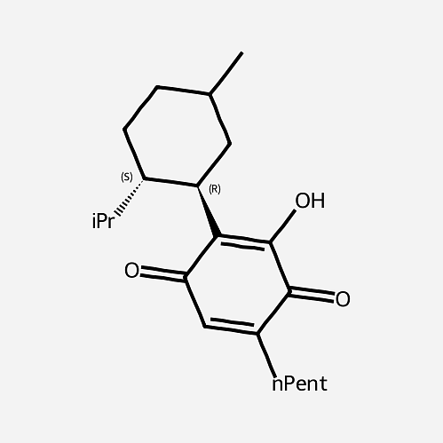 CCCCCC1=CC(=O)C([C@@H]2CC(C)CC[C@H]2C(C)C)=C(O)C1=O